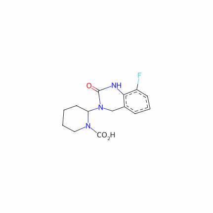 O=C(O)N1CCCCC1N1Cc2cccc(F)c2NC1=O